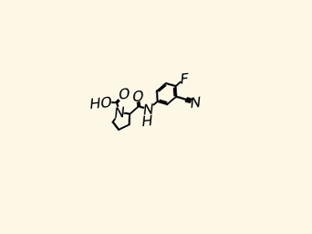 N#Cc1cc(NC(=O)C2CCCN2C(=O)O)ccc1F